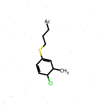 CC(=O)CCCSC1=CC(C)C(Cl)C=C1